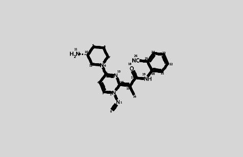 C=NN1C=CC(N2CCC[C@@H](N)C2)=N/C1=C(/C)C(=O)Nc1ccccc1C#N